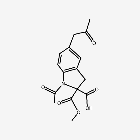 COC(=O)C1(C(=O)O)Cc2cc(CC(C)=O)ccc2N1C(C)=O